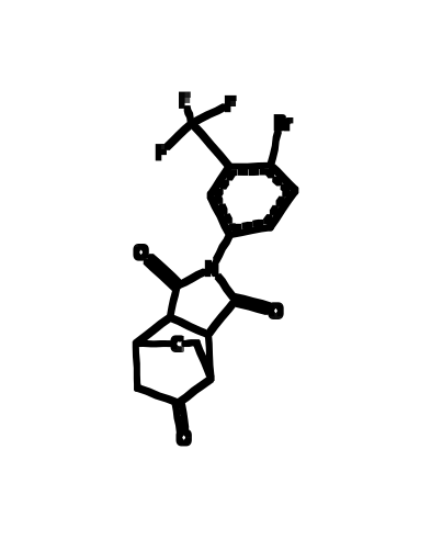 O=C1CC2CCC1C1C(=O)N(c3ccc(Br)c(C(F)(F)F)c3)C(=O)C21